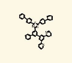 c1ccc(-c2ccc(-c3nc(-c4ccc(-c5ccccc5)cc4)nc(-c4cc(-c5ccccc5)cc(-c5cc(-c6ccccn6)cc(-c6ccccn6)c5)c4)n3)cc2)cc1